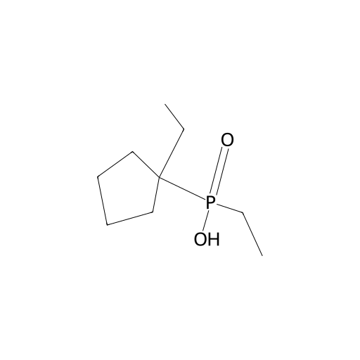 CCC1(P(=O)(O)CC)CCCC1